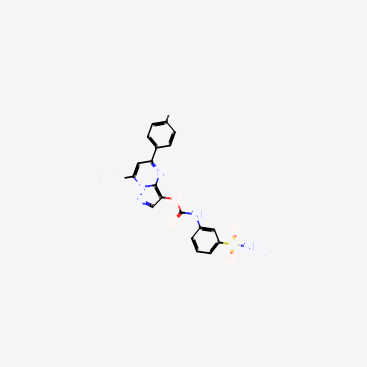 Cc1cc(-c2ccc(C(F)(F)F)cc2)nc2c(OC(=O)Nc3cccc(S(N)(=O)=O)c3)cnn12